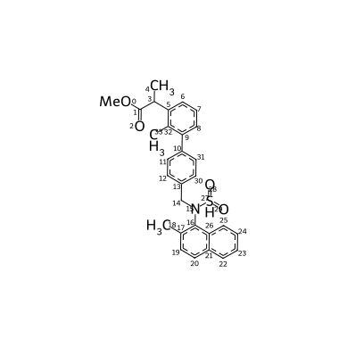 COC(=O)C(C)c1cccc(-c2ccc(CN(c3c(C)ccc4ccccc34)[SH](=O)=O)cc2)c1C